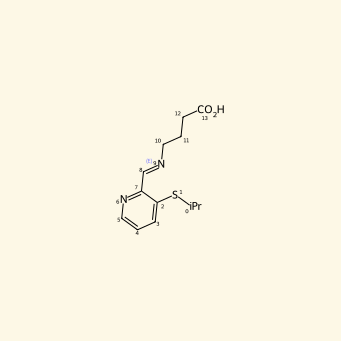 CC(C)Sc1cccnc1/C=N/CCCC(=O)O